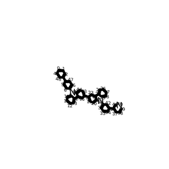 c1ccc(-c2ccc(-n3c4ccccc4c4cc(-c5ccc6c(c5)c5ccccc5n6-c5cccc(-c6cccnc6)c5)ccc43)cc2)cc1